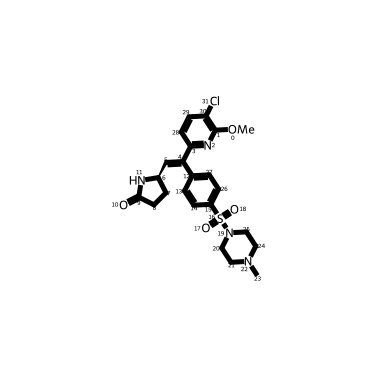 COc1nc(/C(=C/[C@H]2CCC(=O)N2)c2ccc(S(=O)(=O)N3CCN(C)CC3)cc2)ccc1Cl